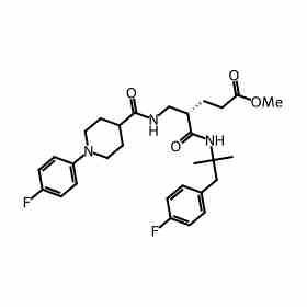 COC(=O)CC[C@@H](CNC(=O)C1CCN(c2ccc(F)cc2)CC1)C(=O)NC(C)(C)Cc1ccc(F)cc1